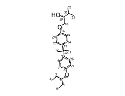 CCC(CC)Oc1ccc(C(C)(C)c2ccc(OCC(O)C(C)C)cc2)cc1